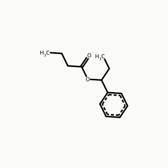 CCCC(=O)OC(CC)c1ccccc1